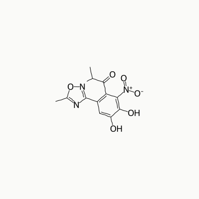 Cc1nc(-c2cc(O)c(O)c([N+](=O)[O-])c2C(=O)C(C)C)no1